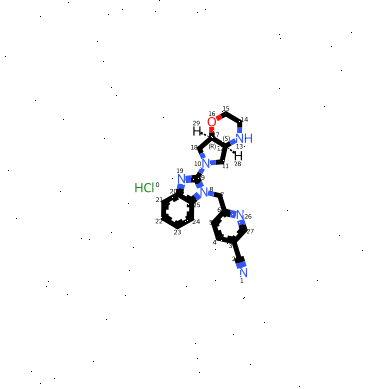 Cl.N#Cc1ccc(Cn2c(N3C[C@@H]4NCCO[C@@H]4C3)nc3ccccc32)nc1